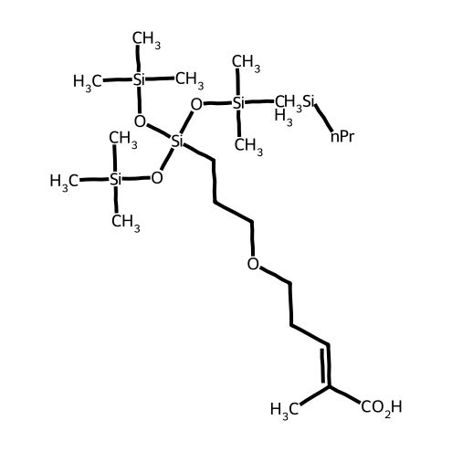 CC(=CCCOCCC[Si](O[Si](C)(C)C)(O[Si](C)(C)C)O[Si](C)(C)C)C(=O)O.CCC[SiH3]